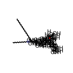 CCCCCCCCCCCCC/C=C/[C@@H](O)[C@H](CO[C@@H]1OC(CO)[C@@H](O[C@@H]2OC(CO)[C@H](O[C@@H]3OC(CO)[C@H](O)[C@H](O[C@@H]4OC(CO)[C@H](O[C@@H]5OC(CO)[C@H](O)[C@H](O[C@@H]6OC(CO)[C@H](O)[C@H](O)C6O)C5NC(C)=O)[C@H](O[C@]5(C(=O)O)CC(O)[C@@H](NC(C)=O)C([C@H](O)[C@H](O)CO)O5)C4O)C3NC(C)=O)[C@H](O)C2O)[C@H](O)C1O)NC(=O)CCCCCCCCCCCCCCCCCCCCC